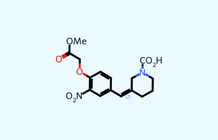 COC(=O)COc1ccc(/C=C2/CCCN(C(=O)O)C2)cc1[N+](=O)[O-]